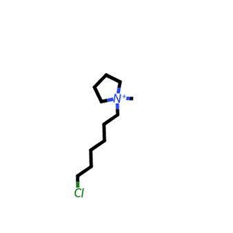 C[N+]1(CCCCCCCl)CCCC1